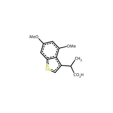 COc1cc(OC)c2c(C(C)C(=O)O)csc2c1